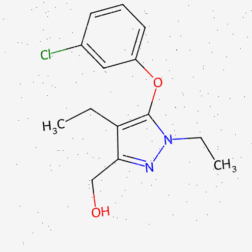 CCc1c(CO)nn(CC)c1Oc1cccc(Cl)c1